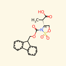 CC(C(=O)O)[C@@H]1COS(=O)(=O)N1C(=O)OCC1c2ccccc2-c2ccccc21